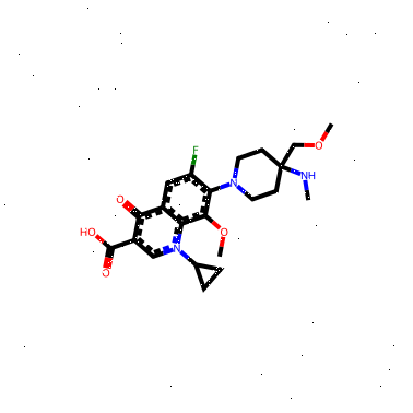 CNC1(COC)CCN(c2c(F)cc3c(=O)c(C(=O)O)cn(C4CC4)c3c2OC)CC1